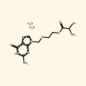 CC(C)C(N)C(=O)OCCOCn1cnc2c(=O)[nH]c(N)nc21.O.O